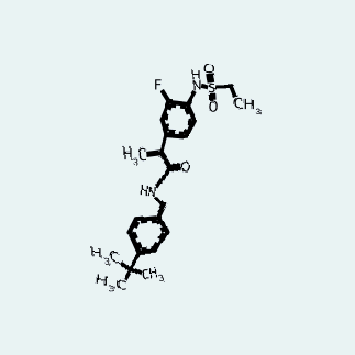 CCS(=O)(=O)Nc1ccc(C(C)C(=O)NCc2ccc(C(C)(C)C)cc2)cc1F